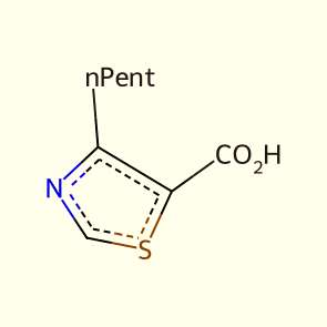 CCCCCc1ncsc1C(=O)O